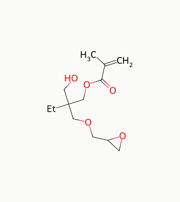 C=C(C)C(=O)OCC(CC)(CO)COCC1CO1